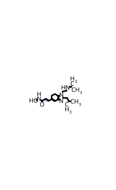 CC(C)Cc1nc2c(n1CCNC(C)C)CCC(/C=C/C(=O)NO)=C2